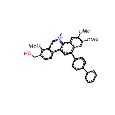 COc1cc2c(-c3ccc(-c4ccccc4)cc3)cc3c4ccc(CO)c(OC)c4c[n+](C)c3c2cc1OC